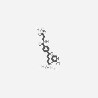 COC(=O)CCNC(=O)c1ccc(C(CCCC(C)C)Oc2ccc(Cl)nc2)cc1